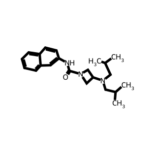 CC(C)CN(CC(C)C)C1CN(C(=O)Nc2ccc3ccccc3c2)C1